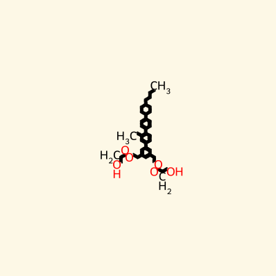 C=C(CO)C(=O)OCCc1cc(CCOC(=O)C(=C)CO)cc(-c2ccc(-c3ccc(C4CCC(CCCCC)CC4)cc3)c(CC)c2)c1